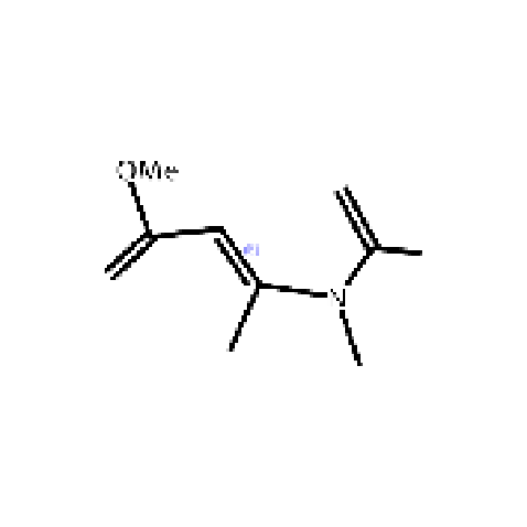 C=C(/C=C(\C)N(C)C(=C)C)OC